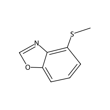 CSc1cccc2ocnc12